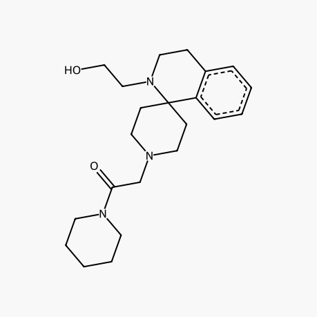 O=C(CN1CCC2(CC1)c1ccccc1CCN2CCO)N1CCCCC1